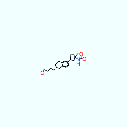 O=CCCC[C@@H]1CCc2cc([C@H]3CC[C@]4(COC(=O)N4)C3)ccc2C1